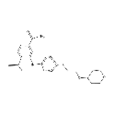 C=C(F)c1ccc(C(N)=O)cc1Nc1ccc(OCCOC2CCOCC2)cc1